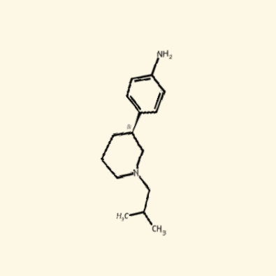 C[C](C)CN1CCC[C@@H](c2ccc(N)cc2)C1